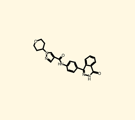 O=C(Nc1ccc(-c2n[nH]c(=O)c3ccccc23)cc1)c1cnn(C2CCOCC2)c1